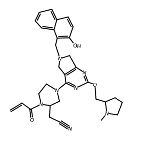 C=CC(=O)N1CCN(c2nc(OCC3CCCN3C)nc3c2CN(Cc2c(O)ccc4ccccc24)C3)CC1CC#N